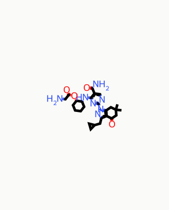 CC1(C)CC(=O)c2c(CC3CC3)nn(-c3ncc(C(N)=O)c(NC4CCCCC4OC(=O)CN)n3)c2C1